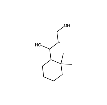 CC1(C)CCCCC1C(O)[CH]CO